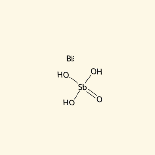 [Bi].[O]=[Sb]([OH])([OH])[OH]